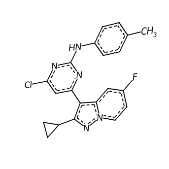 Cc1ccc(Nc2nc(Cl)cc(-c3c(C4CC4)nn4ccc(F)cc34)n2)cc1